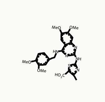 COc1ccc(CNc2nc(Nc3nc(C)c(C(=O)O)s3)nc3cc(OC)c(OC)cc23)cc1OC